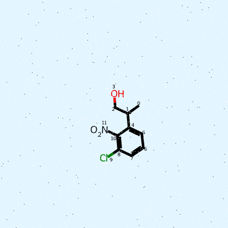 C[C](CO)c1cccc(Cl)c1[N+](=O)[O-]